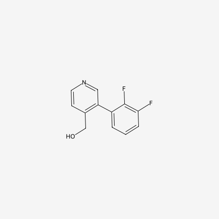 OCc1ccncc1-c1cccc(F)c1F